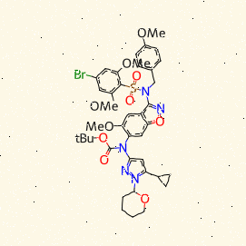 COc1ccc(CN(c2noc3cc(N(C(=O)OC(C)(C)C)c4cc(C5CC5)n(C5CCCCO5)n4)c(OC)cc23)S(=O)(=O)c2c(OC)cc(Br)cc2OC)cc1